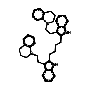 c1ccc2c(c1)CCCN2CCc1c(CCCCc2[nH]c3ccccc3c2CCN2CCCc3ccccc32)[nH]c2ccccc12